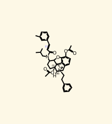 CC(=O)Oc1ccc2c3c1OC1C(N(CC(C)C)C(=O)/C=C/c4cccc(C)c4)CC[C@@]4(OC(C)=O)[C@@H](C2)N(CCc2ccccc2)CC[C@]314